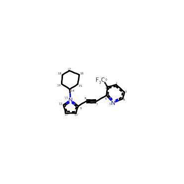 FC(F)(F)c1cccnc1C#Cc1cccn1C1CCCCC1